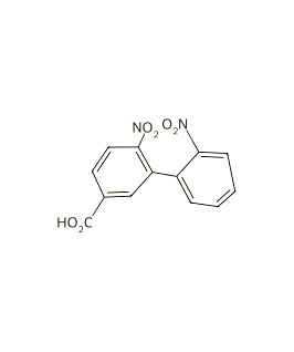 O=C(O)c1ccc([N+](=O)[O-])c(-c2ccccc2[N+](=O)[O-])c1